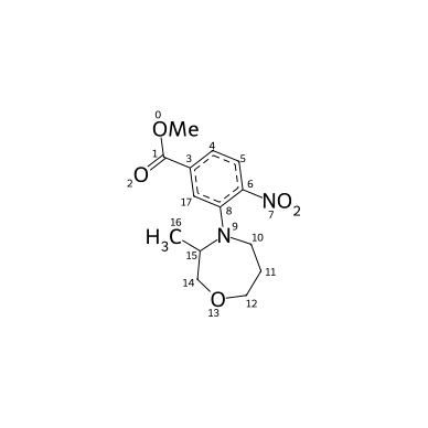 COC(=O)c1ccc([N+](=O)[O-])c(N2CCCOCC2C)c1